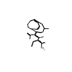 C=C(C)C(/C1=C/C(C)C/C2=C/CCCC1CC2)=C(C)\C(CC)=C(/C)P